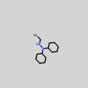 N#CCNN(C1CCCCC1)C1CCCCC1